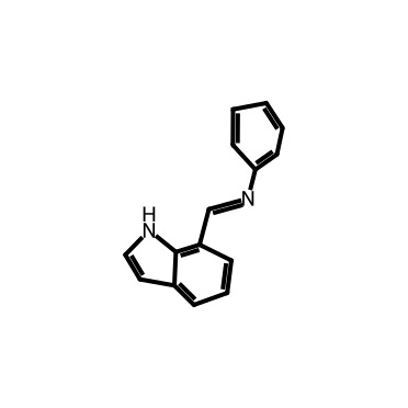 C(=N\c1ccccc1)/c1cccc2cc[nH]c12